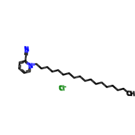 CCCCCCCCCCCCCCCCCC[n+]1ccccc1C#N.[Cl-]